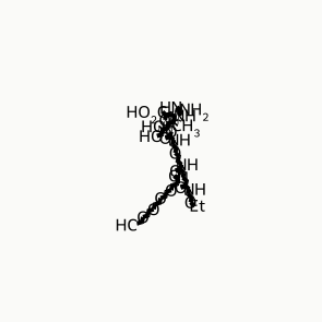 C#CCOCCOCCOCCOCCC(=O)N(CC(=O)NCCOCC)CC(=O)NCCOCCNC(=O)O[C@@H]([C@@H]1OC(C(=O)O)=C[C@H](NC(=N)N)[C@H]1C)[C@H](O)CO